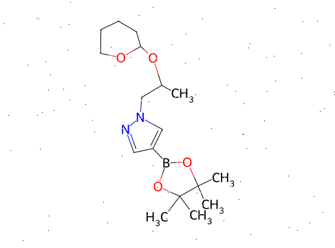 CC(Cn1cc(B2OC(C)(C)C(C)(C)O2)cn1)OC1CCCCO1